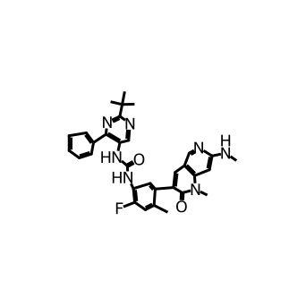 CNc1cc2c(cn1)cc(-c1cc(NC(=O)Nc3cnc(C(C)(C)C)nc3-c3ccccc3)c(F)cc1C)c(=O)n2C